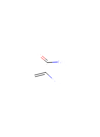 C=CN.NC=O